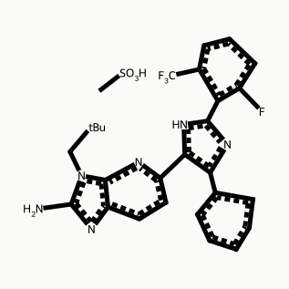 CC(C)(C)Cn1c(N)nc2ccc(-c3[nH]c(-c4c(F)cccc4C(F)(F)F)nc3-c3ccccc3)nc21.CS(=O)(=O)O